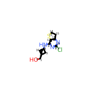 OCC12CC(Nc3nc(Cl)nc4c3SCC4)(C1)C2